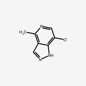 Cc1ncc(Cl)c2[nH]ncc12